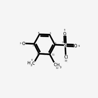 Cc1c([O])ccc(S(=O)(=O)Cl)c1C